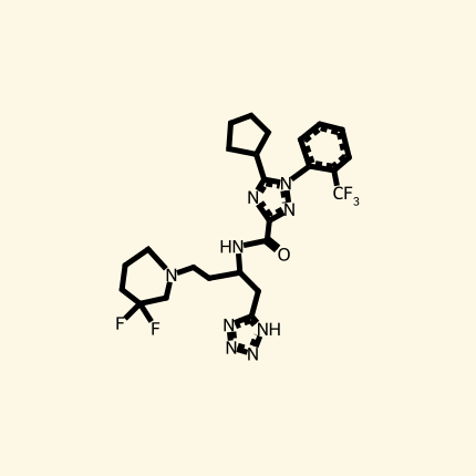 O=C(NC(CCN1CCCC(F)(F)C1)Cc1nnn[nH]1)c1nc(C2CCCC2)n(-c2ccccc2C(F)(F)F)n1